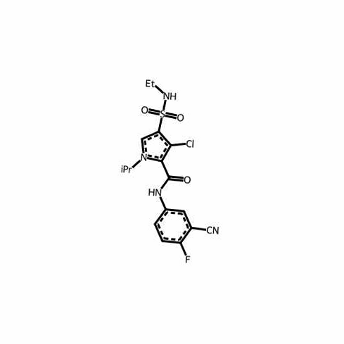 CCNS(=O)(=O)c1cn(C(C)C)c(C(=O)Nc2ccc(F)c(C#N)c2)c1Cl